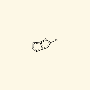 CCc1cc2cscc2s1